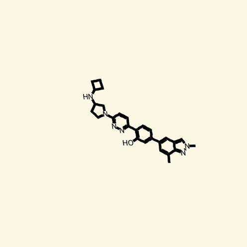 Cc1cc(-c2ccc(-c3ccc(N4CCC(NC5CCC5)C4)nn3)c(O)c2)cc2cn(C)nc12